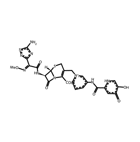 CON=C(C(=O)N[C@@H]1C(=O)N2C(C(=O)[O-])=C(C[n+]3cccc(NC(=O)c4cc(=O)c(O)c[nH]4)c3)CS[C@@H]12)c1nsc(N)n1